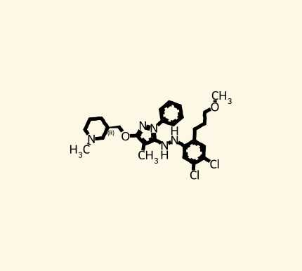 COCCCc1cc(Cl)c(Cl)cc1NNc1c(C)c(OC[C@@H]2CCCN(C)C2)nn1-c1ccccc1